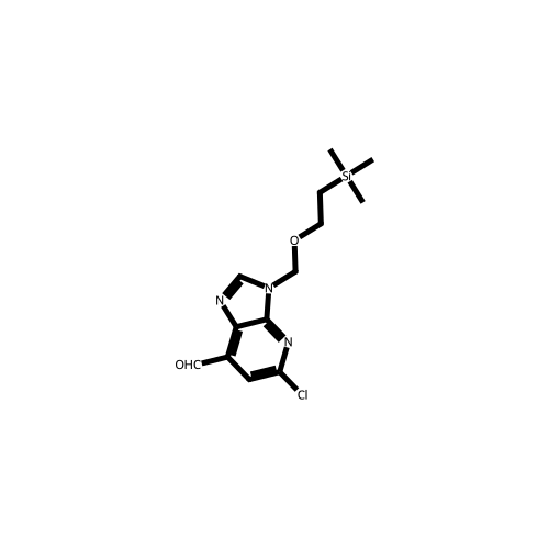 C[Si](C)(C)CCOCn1cnc2c(C=O)cc(Cl)nc21